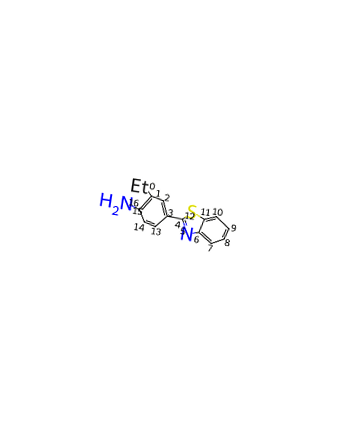 CCc1cc(-c2nc3ccccc3s2)ccc1N